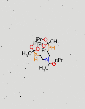 CCCOC(C)N(CCPC(C)(OC(C)C)OC(C)C)CCPC(C)(OC(C)C)OC(C)C